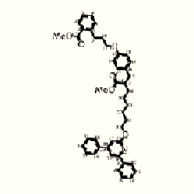 COC(=O)c1ccccc1CCCOc1ccc(CC(CCCCCCOc2cc(-c3ccccc3)cc(-c3ccccc3)n2)C(=O)OC)cc1